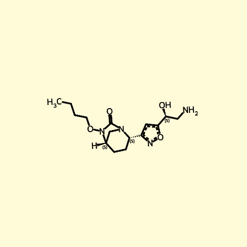 CCCCON1C(=O)N2C[C@@H]1CC[C@H]2c1cc([C@@H](O)CN)on1